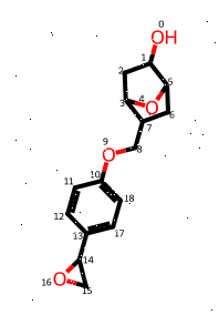 OC1CC2OC1CC2COc1ccc(C2CO2)cc1